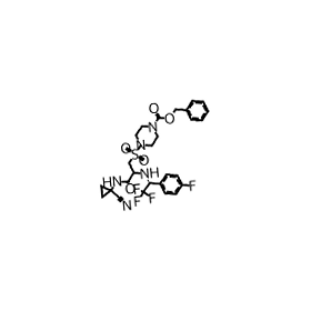 N#CC1(NC(=O)C(CS(=O)(=O)N2CCN(C(=O)OCc3ccccc3)CC2)N[C@H](c2ccc(F)cc2)C(F)(F)F)CC1